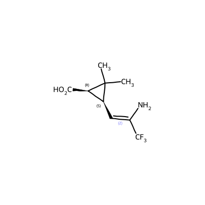 CC1(C)[C@H](C(=O)O)[C@@H]1/C=C(\N)C(F)(F)F